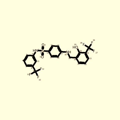 O=S(=O)(Nc1cccc(C(F)(F)F)c1)c1ccc(NCc2cccc(C(F)(F)F)c2O)cc1